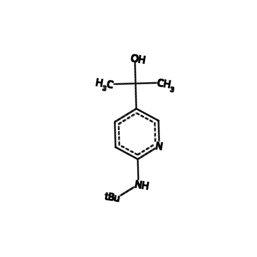 CC(C)(C)Nc1ccc(C(C)(C)O)cn1